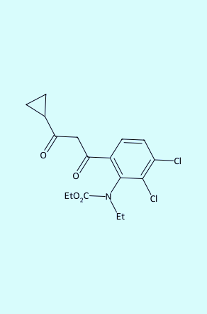 CCOC(=O)N(CC)c1c(C(=O)CC(=O)C2CC2)ccc(Cl)c1Cl